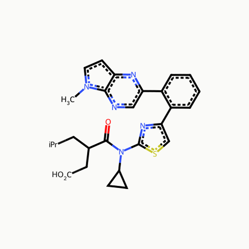 CC(C)CC(CC(=O)O)C(=O)N(c1nc(-c2ccccc2-c2cnc3c(ccn3C)n2)cs1)C1CC1